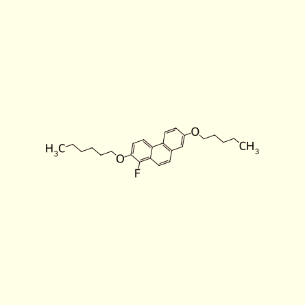 CCCCCCOc1ccc2c(ccc3cc(OCCCCC)ccc32)c1F